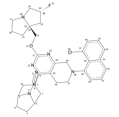 N#CN1C2CCC1CN(c1nc(OC[C@@]34CCCN3C[C@H](F)C4)nc3c1CCN(c1cccc4cccc(Cl)c14)C3)C2